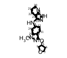 Cn1nc(O[C@H]2CCOC2)c2ccc(Nc3n[nH]c4ncccc34)cc21